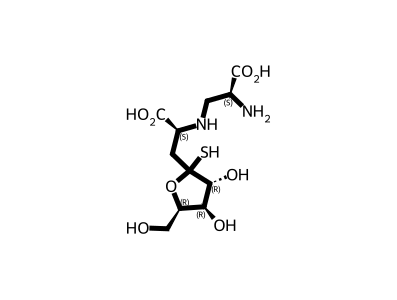 N[C@@H](CN[C@@H](CC1(S)O[C@H](CO)[C@H](O)[C@H]1O)C(=O)O)C(=O)O